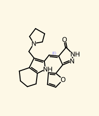 O=C1NN=C(c2ccco2)/C1=C\c1[nH]c2c(c1CN1CCCC1)CCCC2